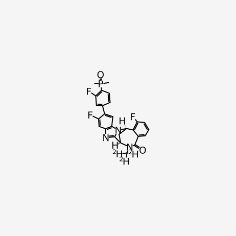 [2H]C([2H])([2H])N1C(=O)c2cccc(F)c2[C@H]2C[C@@H]1c1nc3cc(F)c(-c4ccc(P(C)(C)=O)c(F)c4)cc3n12